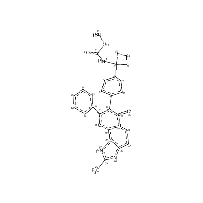 CC(C)(C)OC(=O)NC1(c2ccc(-c3c(-c4ccccc4)oc4c(ccc5nc(C(F)(F)F)[nH]c54)c3=O)cc2)CCC1